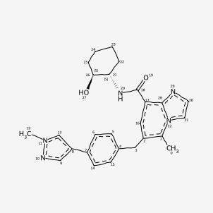 Cc1c(Cc2ccc(-c3cnn(C)c3)cc2)cc(C(=O)N[C@H]2CCCC[C@@H]2O)c2nccn12